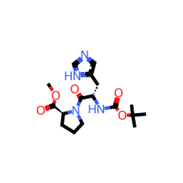 COC(=O)[C@@H]1CCCN1C(=O)[C@H](Cc1cnc[nH]1)NC(=O)OC(C)(C)C